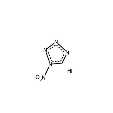 I.O=[N+]([O-])n1cnnn1